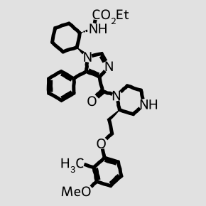 CCOC(=O)N[C@H]1CCCC[C@@H]1n1cnc(C(=O)N2CCNC[C@H]2CCOc2cccc(OC)c2C)c1-c1ccccc1